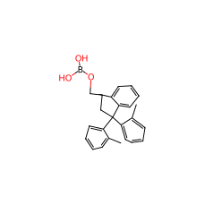 Cc1ccccc1C(CCCOB(O)O)(c1ccccc1C)c1ccccc1C